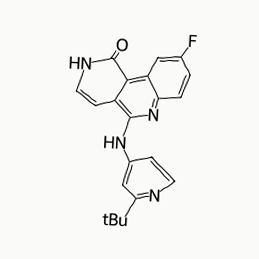 CC(C)(C)c1cc(Nc2nc3ccc(F)cc3c3c(=O)[nH]ccc23)ccn1